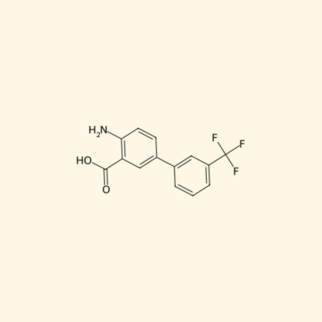 Nc1ccc(-c2cccc(C(F)(F)F)c2)cc1C(=O)O